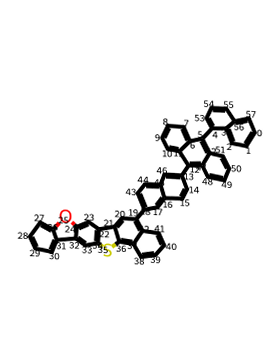 c1ccc2c(-c3c4ccccc4c(-c4ccc5cc(-c6cc7c8cc9oc%10ccccc%10c9cc8sc7c7ccccc67)ccc5c4)c4ccccc34)cccc2c1